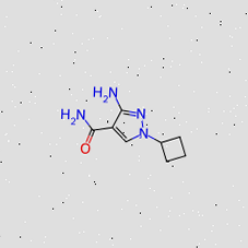 NC(=O)c1cn(C2CCC2)nc1N